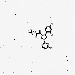 CC(C)(C)OC(=O)NC1CN(c2nccc(Cl)n2)CC1c1ccc(Cl)cc1Cl